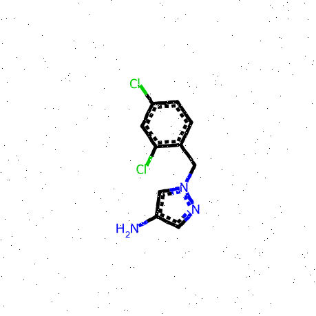 Nc1cnn(Cc2ccc(Cl)cc2Cl)c1